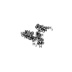 COC1C(OP(=O)(O)OC)[C@@H](COP(=O)(O)OC2C(OC)[C@H](n3cnc4c(=O)[nH]c(N)nc43)O[C@@H]2COP(=O)(S)OC2C(OC)[C@H](n3cnc4c(=O)[nH]c(N)nc43)O[C@@H]2CO)O[C@H]1n1ccc(N)nc1=O